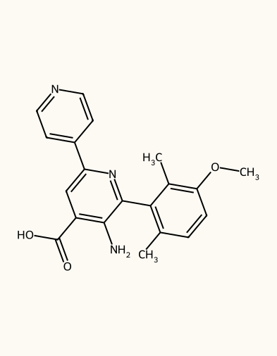 COc1ccc(C)c(-c2nc(-c3ccncc3)cc(C(=O)O)c2N)c1C